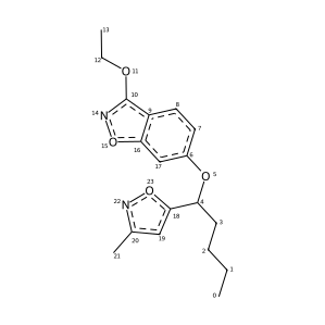 CCCCC(Oc1ccc2c(OCC)noc2c1)c1cc(C)no1